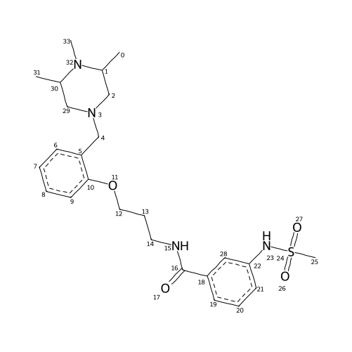 CC1CN(Cc2ccccc2OCCCNC(=O)c2cccc(NS(C)(=O)=O)c2)CC(C)N1C